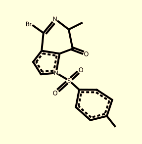 Cc1ccc(S(=O)(=O)n2ccc3c2C(=O)C(C)N=C3Br)cc1